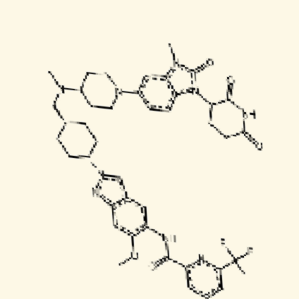 COc1cc2nn([C@H]3CC[C@H](CN(C)C4CCN(c5ccc6c(c5)n(C)c(=O)n6C5CCC(=O)NC5=O)CC4)CC3)cc2cc1NC(=O)c1cccc(C(F)(F)F)n1